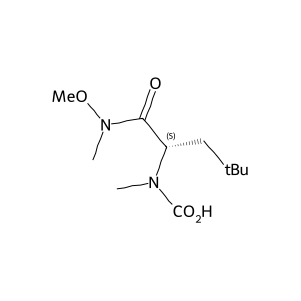 CON(C)C(=O)[C@H](CC(C)(C)C)N(C)C(=O)O